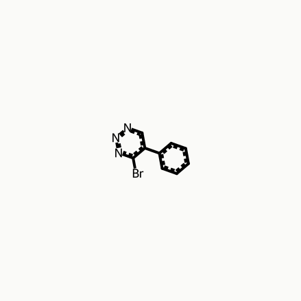 Brc1nnncc1-c1ccccc1